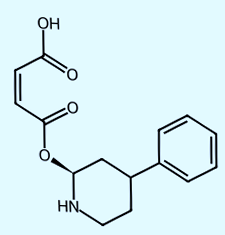 O=C(O)/C=C\C(=O)O[C@H]1CC(c2ccccc2)CCN1